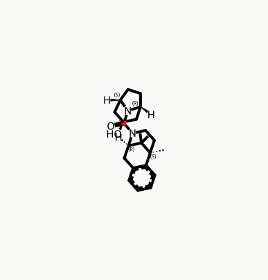 CC1(C)[C@H]2Cc3ccccc3[C@]1(C)CCN2C(=O)N1[C@@H]2CC[C@H]1C[C@H](O)C2